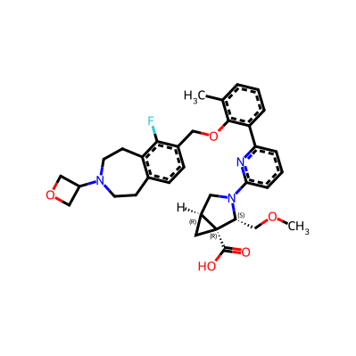 COC[C@H]1N(c2cccc(-c3cccc(C)c3OCc3ccc4c(c3F)CCN(C3COC3)CC4)n2)C[C@@H]2C[C@@]21C(=O)O